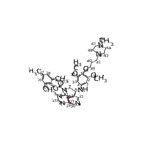 COc1cc(NC(CN(C(=O)Oc2c(C)cc(C)cc2C)c2ccncn2)c2cccnc2)cc(OC)c1OCCCN1CCN(C)CC1